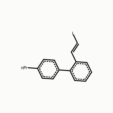 CCCc1ccc(-c2ccccc2C=CI)cc1